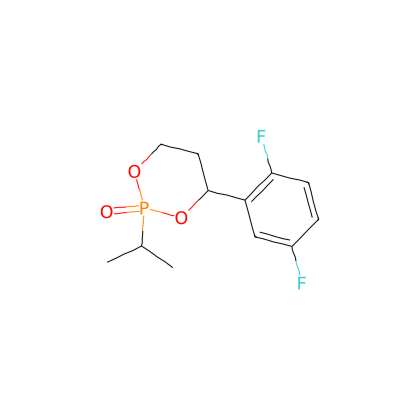 CC(C)P1(=O)OCCC(c2cc(F)ccc2F)O1